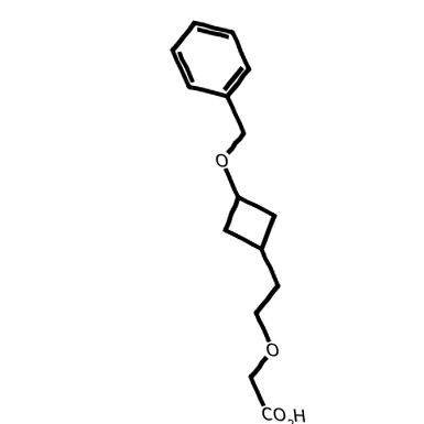 O=C(O)COCCC1CC(OCc2ccccc2)C1